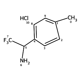 Cc1ccc(C(N)C(F)(F)F)cc1.Cl